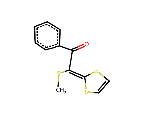 CSC(C(=O)c1ccccc1)=C1SC=CS1